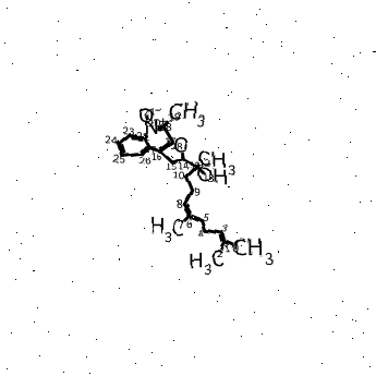 CC(C)=CCCC(C)=CCCC(C)(O)C1Cc2c(c(C)[n+]([O-])c3ccccc23)O1